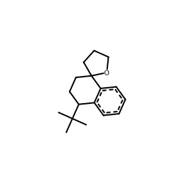 CC(C)(C)C1CCC2(CCCO2)c2ccccc21